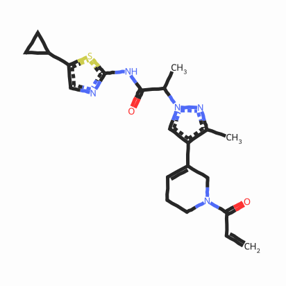 C=CC(=O)N1CCC=C(c2cn(C(C)C(=O)Nc3ncc(C4CC4)s3)nc2C)C1